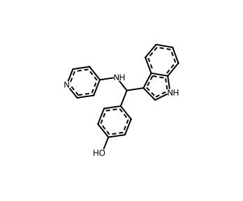 Oc1ccc(C(Nc2ccncc2)c2c[nH]c3ccccc23)cc1